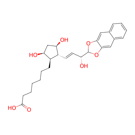 O=C(O)CCCCCC[C@@H]1[C@@H](/C=C/[C@@H](O)C2Oc3cc4ccccc4cc3O2)[C@H](O)C[C@@H]1O